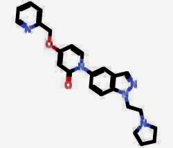 O=c1cc(OCc2ccccn2)ccn1-c1ccc2c(cnn2CCN2CCCC2)c1